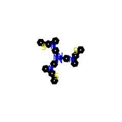 c1ccc2c(c1)sc1cc3c(cc12)c1ccccc1n3-c1ccc(-c2nc(-c3ccc(-n4c5ccccc5c5cc6c(cc54)sc4ccccc46)cc3)nc(-c3ccc(-n4c5ccccc5c5cc6c(cc54)sc4ccccc46)cc3)n2)cc1